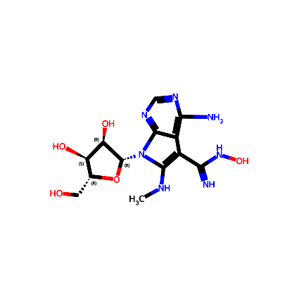 CNc1c(C(=N)NO)c2c(N)ncnc2n1[C@@H]1O[C@H](CO)[C@@H](O)[C@H]1O